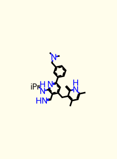 C=C1NC(C)=CC(C)=C1Cc1cc(-c2cccc(CN(C)C)c2)nc(NC(C)C)c1C=N